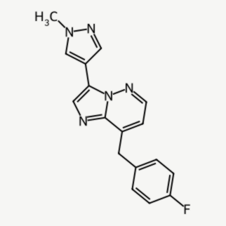 Cn1cc(-c2cnc3c(Cc4ccc(F)cc4)ccnn23)cn1